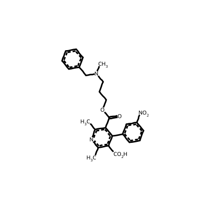 Cc1nc(C)c(C(=O)OCCCN(C)Cc2ccccc2)c(-c2cccc([N+](=O)[O-])c2)c1C(=O)O